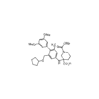 COC(=O)N1CCCC(Nc2cc(C)c(-c3cc(OC)cc(OC)c3)c(COC3CCCC3)c2)(C(=O)O)C1